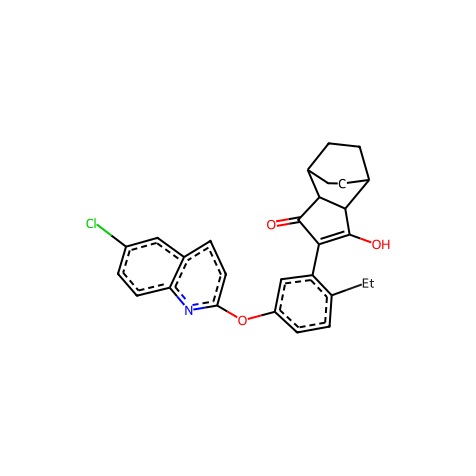 CCc1ccc(Oc2ccc3cc(Cl)ccc3n2)cc1C1=C(O)C2C3CCC(CC3)C2C1=O